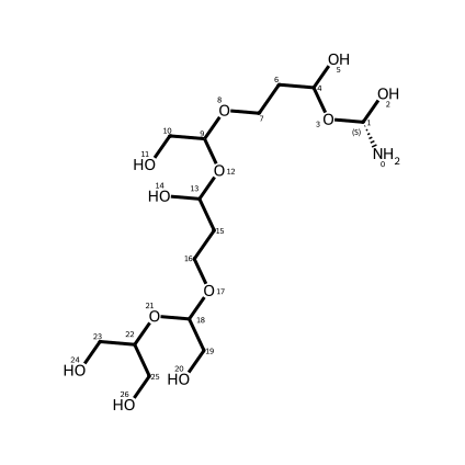 N[C@@H](O)OC(O)CCOC(CO)OC(O)CCOC(CO)OC(CO)CO